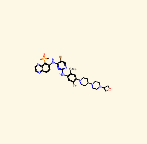 CCc1cc(Nc2ncc(Br)c(Nc3ccc4nccnc4c3P(C)(C)=O)n2)c(OC)cc1N1CCC(N2CCN(C3COC3)CC2)CC1